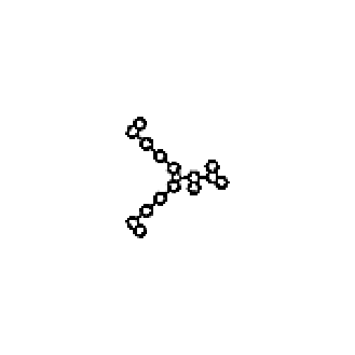 c1ccc2c(-c3ccc(-c4ccc(-c5ccc6c(c5)c5cc(-c7ccc(-c8ccc(-c9cccc%10ccccc9%10)cc8)cc7)ccc5n6-c5ccc(-c6cc7ccccc7c7ccccc67)c6ccccc56)cc4)cc3)cccc2c1